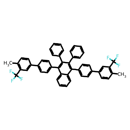 Cc1ccc(-c2ccc(-c3c(-c4ccccc4)c(-c4ccccc4)c(-c4ccc(-c5ccc(C)c(C(F)(F)F)c5)cc4)c4ccccc34)cc2)cc1C(F)(F)F